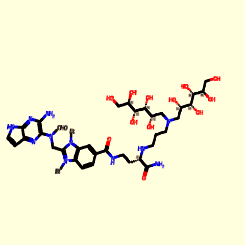 CCn1c(CN(C=O)c2nc3cc[nH]c3nc2N)[n+](CC)c2ccc(C(=O)NCC[C@H](NCCCN(C[C@H](O)[C@@H](O)[C@H](O)[C@H](O)CO)C[C@H](O)[C@@H](O)[C@H](O)[C@H](O)CO)C(N)=O)cc21